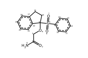 NC(=O)COC1(S(=O)(=O)c2ccccc2)CCc2ccccc21